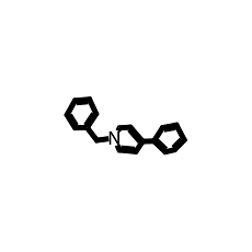 C1=CN(Cc2ccccc2)CC=C1c1ccccc1